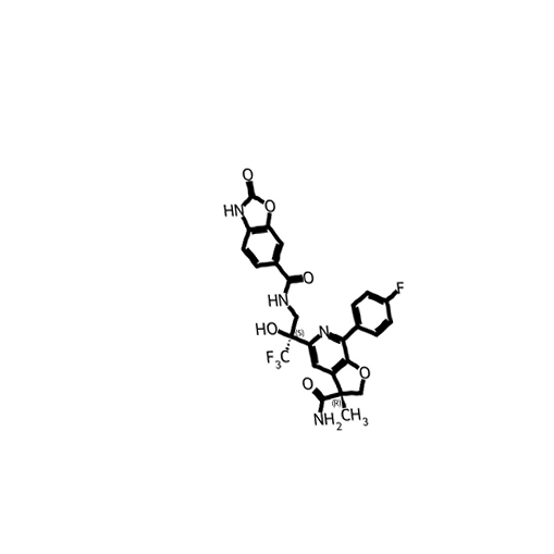 C[C@]1(C(N)=O)COc2c1cc([C@@](O)(CNC(=O)c1ccc3[nH]c(=O)oc3c1)C(F)(F)F)nc2-c1ccc(F)cc1